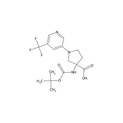 CC(C)(C)OC(=O)NC1(C(=O)O)CCN(c2cncc(C(F)(F)F)c2)C1